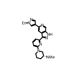 CCn1cc(-c2cc3c(-c4cccc(N5CCC[C@@H](NC)C5)n4)n[nH]c3cn2)cn1